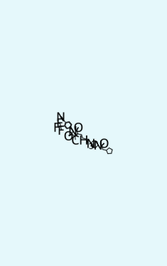 CC1=C(CCCCN2CCN(C(=O)CC3CCCC3)CC2)C(=O)N(c2ccc(C#N)c(C(F)(F)F)c2)C1=O